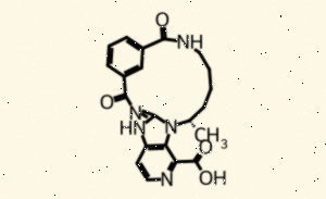 C[C@H]1CCCCNC(=O)c2cccc(c2)C(=O)/N=C2\Nc3ccnc(C(=O)O)c3N21